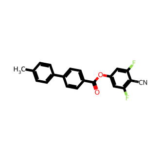 Cc1ccc(-c2ccc(C(=O)Oc3cc(F)c(C#N)c(F)c3)cc2)cc1